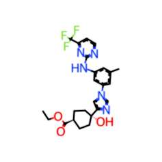 CCOC(=O)[C@H]1CC[C@@](O)(c2cn(-c3cc(C)cc(Nc4nccc(C(F)(F)F)n4)c3)cn2)CC1